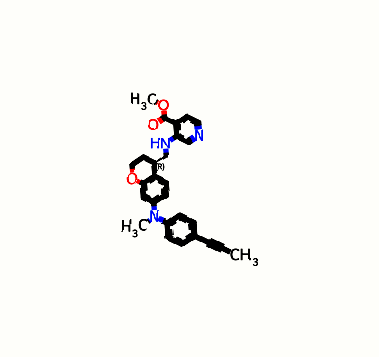 CC#Cc1ccc(N(C)c2ccc3c(c2)OCC[C@H]3CNc2cnccc2C(=O)OC)cc1